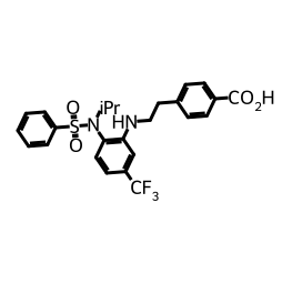 CC(C)N(c1ccc(C(F)(F)F)cc1NCCc1ccc(C(=O)O)cc1)S(=O)(=O)c1ccccc1